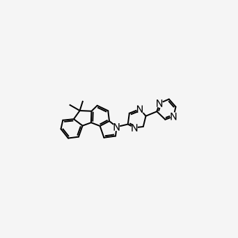 CC1(C)c2ccccc2-c2c1ccc1c2ccn1C1=NCC(c2cnccn2)N=C1